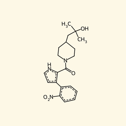 CC(C)(O)CC1CCN(C(=O)c2[nH]ccc2-c2ccccc2[N+](=O)[O-])CC1